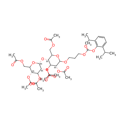 CC(=O)OCC1OC(OCCCOC(=O)Oc2c(C(C)C)cccc2C(C)C)[C@H](OC(C)=O)C(OC(C)=O)[C@@H]1O[C@H]1OC(COC(C)=O)[C@@H](OC(C)=O)C(OC(C)=O)[C@H]1OC(C)=O